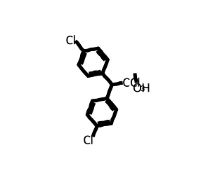 CO.Clc1ccc(C(c2ccc(Cl)cc2)C(Cl)(Cl)Cl)cc1